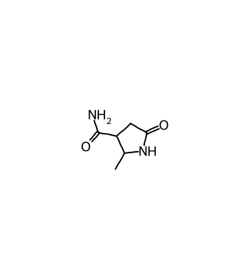 CC1NC(=O)CC1C(N)=O